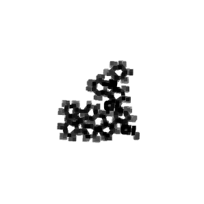 CCC(c1ccc2c(c1)C1(c3ccccc3-c3ccccc31)c1ccccc1-2)c1ccccc1-c1cc(-c2ccc3c(c2)c2ccccc2n3-c2ccccc2)ccc1C